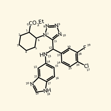 CCOC(=O)C1CCCCC1n1nnnc1C(Nc1ccc2[nH]cnc2c1)c1ccc(Cl)c(F)c1